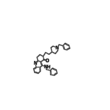 O=C1c2c(nc3ccccc3c2NCc2ccccc2)CCC1CCC1CCN(Cc2ccccc2)CC1